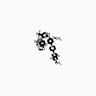 COc1cc(N2CCC(N3C[C@H]4CN(C)C[C@H]4C3)CC2)c(C)cc1Nc1ncc(C(F)(F)F)c(Nc2ccc3c(c2P(C)(C)=O)OCCO3)n1